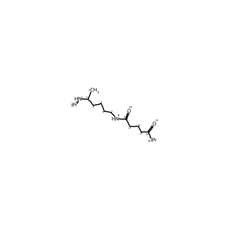 CC(C)NC(C)CCCCNC(=O)CCCC(=O)C(C)C